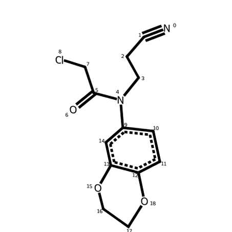 N#CCCN(C(=O)CCl)c1ccc2c(c1)OCCO2